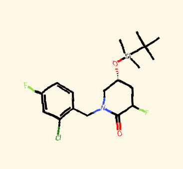 CC(C)(C)[Si](C)(C)O[C@@H]1CC(F)C(=O)N(Cc2ccc(F)cc2Cl)C1